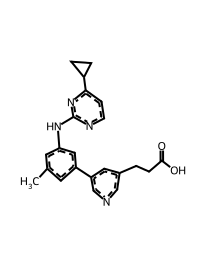 Cc1cc(Nc2nccc(C3CC3)n2)cc(-c2cncc(CCC(=O)O)c2)c1